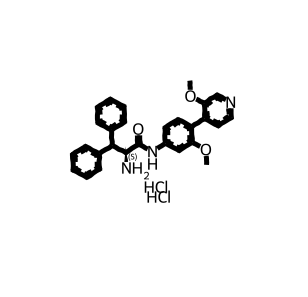 COc1cnccc1-c1ccc(NC(=O)[C@@H](N)C(c2ccccc2)c2ccccc2)cc1OC.Cl.Cl